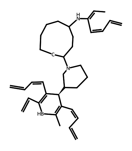 C=C/C=C\C1=C(C)BC(C=C)=C(/C=C\C=C)[C@H]1C1CCCN(C2CCCCCC(NC(/C=C\C=C)=C/C)CC2)C1